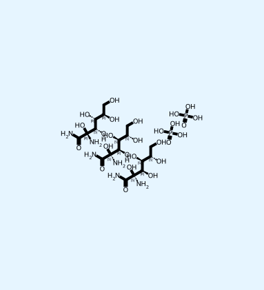 NC(=O)[C@@](N)(O)[C@H](O)[C@@H](O)[C@@H](O)CO.NC(=O)[C@@](N)(O)[C@H](O)[C@@H](O)[C@@H](O)CO.NC(=O)[C@](N)(O)[C@@H](O)[C@H](O)[C@H](O)CO.O=P(O)(O)O.O=P(O)(O)O